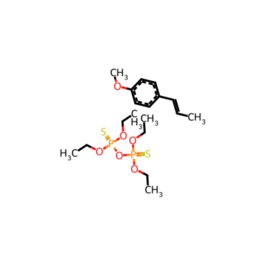 C/C=C/c1ccc(OC)cc1.CCOP(=S)(OCC)OP(=S)(OCC)OCC